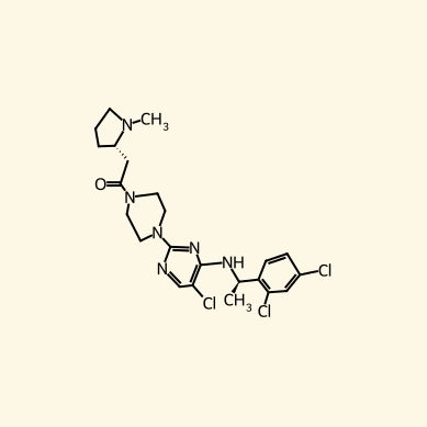 C[C@@H](Nc1nc(N2CCN(C(=O)C[C@@H]3CCCN3C)CC2)ncc1Cl)c1ccc(Cl)cc1Cl